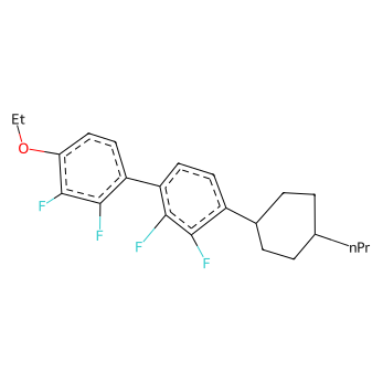 CCCC1CCC(c2ccc(-c3ccc(OCC)c(F)c3F)c(F)c2F)CC1